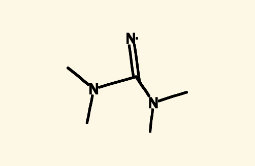 CN(C)C(=[N])N(C)C